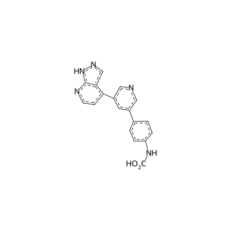 O=C(O)Nc1ccc(-c2cncc(-c3ccnc4[nH]ncc34)c2)cc1